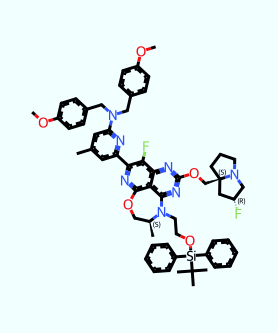 COc1ccc(CN(Cc2ccc(OC)cc2)c2cc(C)cc(-c3nc4c5c(nc(OC[C@@]67CCCN6C[C@H](F)C7)nc5c3F)N(CCO[Si](c3ccccc3)(c3ccccc3)C(C)(C)C)[C@@H](C)CO4)n2)cc1